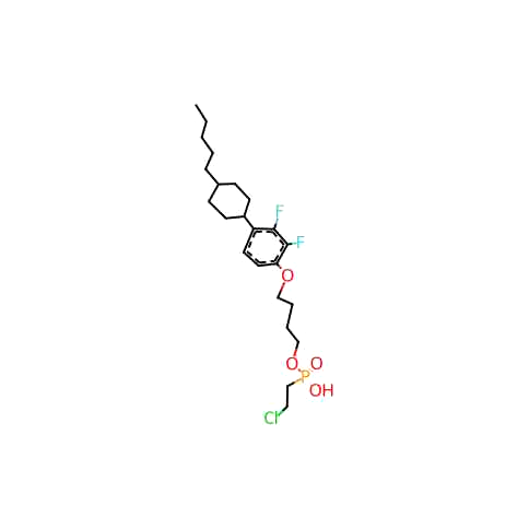 CCCCCC1CCC(c2ccc(OCCCCOP(=O)(O)CCCl)c(F)c2F)CC1